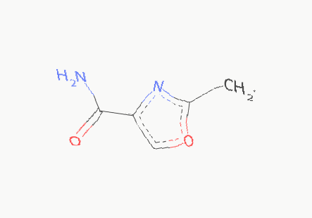 [CH2]c1nc(C(N)=O)co1